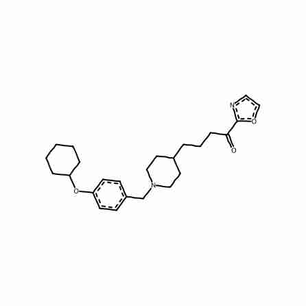 O=C(CCCC1CCN(Cc2ccc(OC3CCCCC3)cc2)CC1)c1ncco1